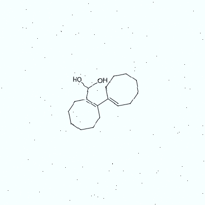 OC(O)C1=C(C2=CCCCCCC2)CCCCCC1